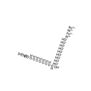 [Al+3].[Co+2].[Fe+2].[Ni+2].[OH-].[OH-].[OH-].[OH-].[OH-].[OH-].[OH-].[OH-].[OH-].[OH-].[OH-].[OH-].[OH-].[OH-].[OH-].[OH-].[OH-].[OH-].[OH-].[Ru+3].[V+5].[Zn+2]